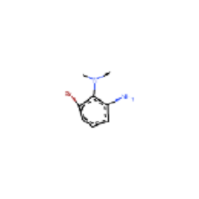 CN(C)c1c(N)cccc1Br